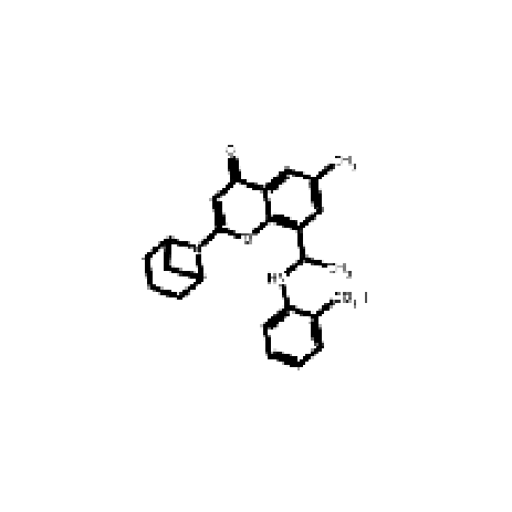 Cc1cc(C(C)Nc2ccccc2C(=O)O)c2oc(N3C4CCCC3C4)cc(=O)c2c1